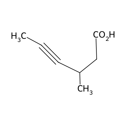 CC#CC(C)CC(=O)O